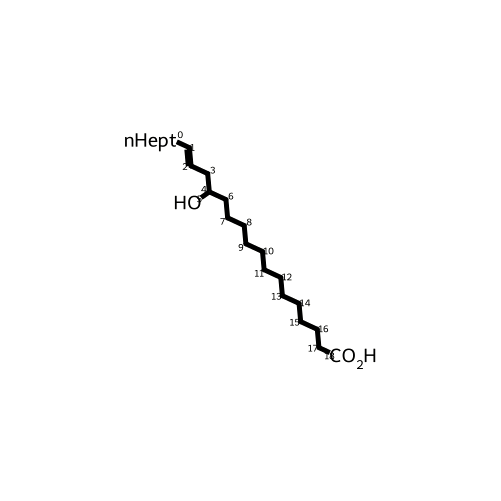 CCCCCCCC=CCC(O)CCCCCCCCCCCCC(=O)O